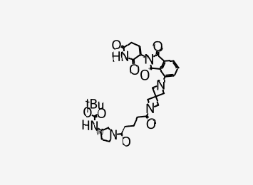 CC(C)(C)OC(=O)N[C@@H]1CCN(C(=O)CCCC(=O)N2CC3(C2)CN(c2cccc4c2C(=O)N(C2CCC(=O)NC2=O)C4=O)C3)C1